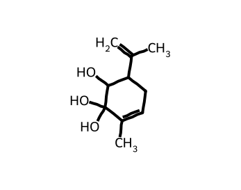 C=C(C)C1CC=C(C)C(O)(O)C1O